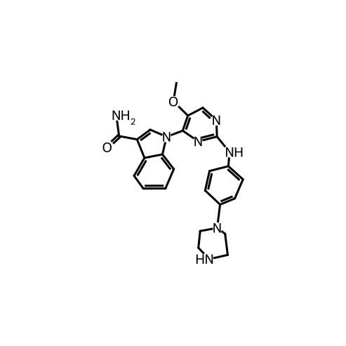 COc1cnc(Nc2ccc(N3CCNCC3)cc2)nc1-n1cc(C(N)=O)c2ccccc21